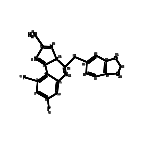 Nc1nc2c3c(F)cc(F)cc3nc(Cc3ccc4c(c3)OCO4)n2n1